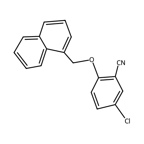 N#Cc1cc(Cl)ccc1OCc1cccc2ccccc12